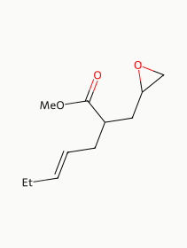 CCC=CCC(CC1CO1)C(=O)OC